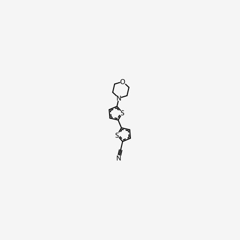 N#Cc1ccc(-c2ccc(N3CCOCC3)s2)s1